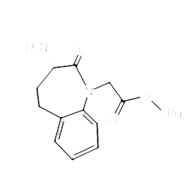 CC(C)(C)OC(=O)CN1C(=O)[C@@H](N)CCc2ccccc21